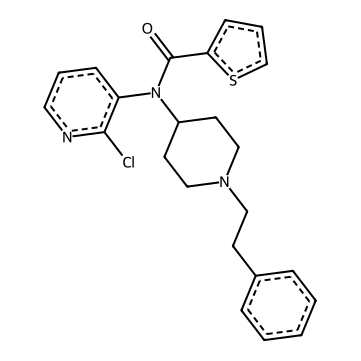 O=C(c1cccs1)N(c1cccnc1Cl)C1CCN(CCc2ccccc2)CC1